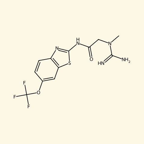 CN(CC(=O)Nc1nc2ccc(OC(F)(F)F)cc2s1)C(=N)N